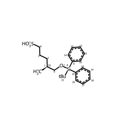 C[C@@H](CCCS(=O)(=O)O)CO[Si](c1ccccc1)(c1ccccc1)C(C)(C)C